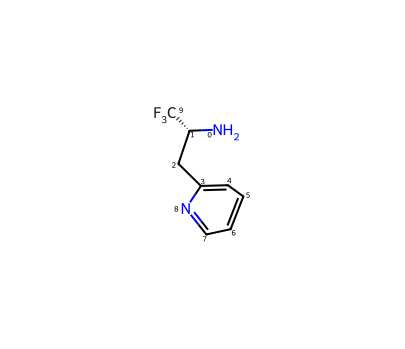 N[C@H](Cc1ccccn1)C(F)(F)F